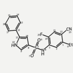 CCc1cc(NS(=O)(=O)c2c[nH]c(-c3ccccc3)c2)c(F)cc1C#N